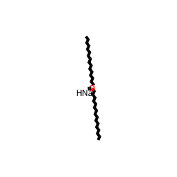 C=C.CCCCCCCCCCCCCCCCOCCCCCCCCCCCCCCCC.[NaH]